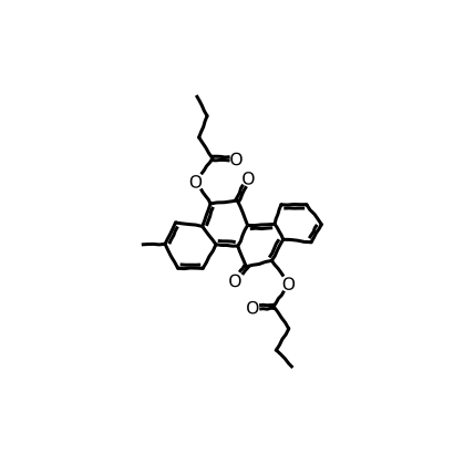 CCCC(=O)OC1=c2ccccc2=C2C(=O)C(OC(=O)CCC)=c3cc(C)ccc3=C2C1=O